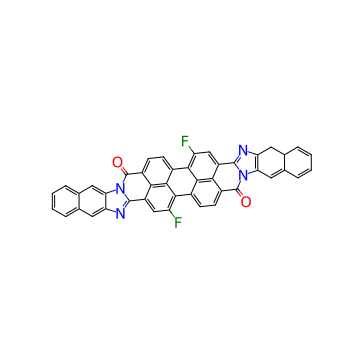 O=c1c2ccc3c4c(F)cc5c6c(ccc(c7c(F)cc(c2c37)c2nc3c(n12)C=C1C=CC=CC1C3)c46)c(=O)n1c2cc3ccccc3cc2nc51